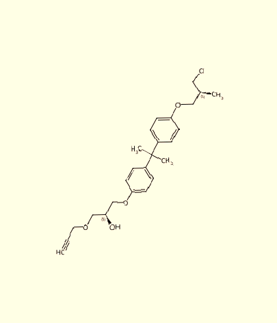 C#CCOC[C@H](O)COc1ccc(C(C)(C)c2ccc(OC[C@H](C)CCl)cc2)cc1